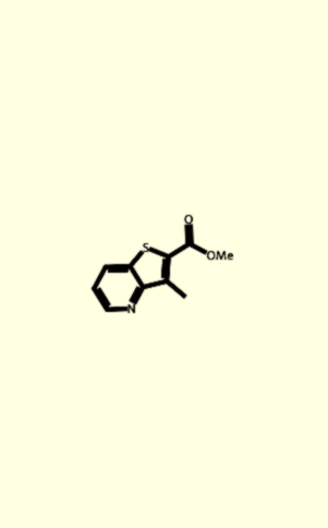 COC(=O)c1sc2cccnc2c1C